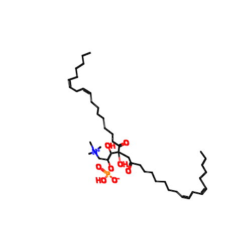 CCCCC/C=C\C/C=C\CCCCCCCC(=O)CC(O)(C(=O)CCCCCCC/C=C\C/C=C\CCCCC)C(O)C(C[N+](C)(C)C)OP(=O)([O-])O